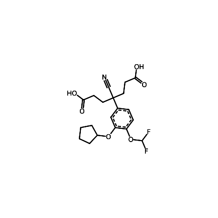 N#CC(CCC(=O)O)(CCC(=O)O)c1ccc(OC(F)F)c(OC2CCCC2)c1